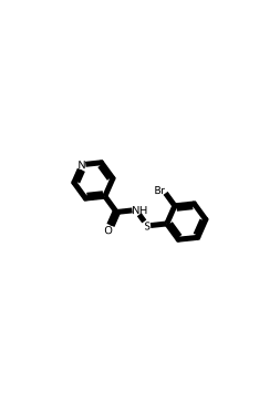 O=C(NSc1ccccc1Br)c1ccncc1